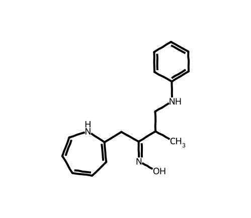 CC(CNc1ccccc1)C(CC1=CC=CC=CN1)=NO